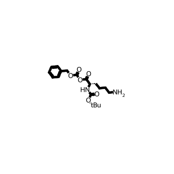 CC(C)(C)OC(=O)N[C@@H](CCCCN)C(=O)OC(=O)OCc1ccccc1